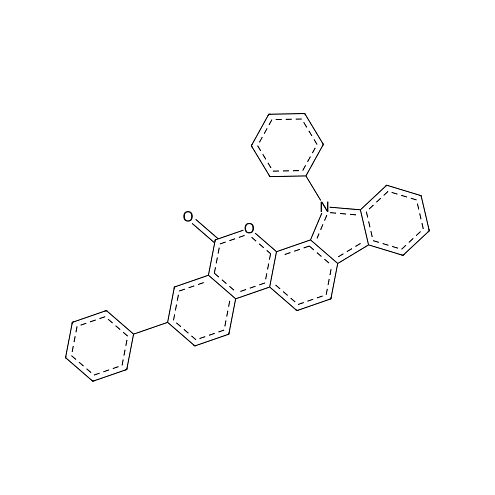 O=c1oc2c(ccc3c4ccccc4n(-c4ccccc4)c32)c2ccc(-c3ccccc3)cc12